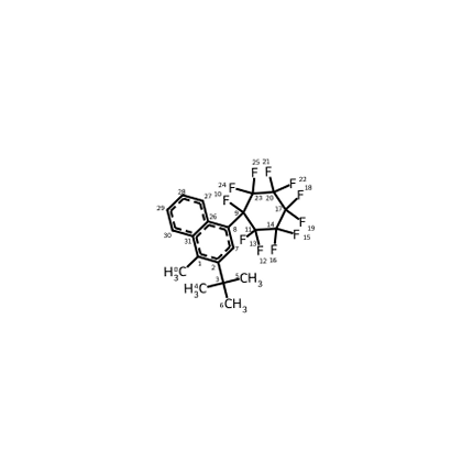 Cc1c(C(C)(C)C)cc(C2(F)C(F)(F)C(F)(F)C(F)(F)C(F)(F)C2(F)F)c2ccccc12